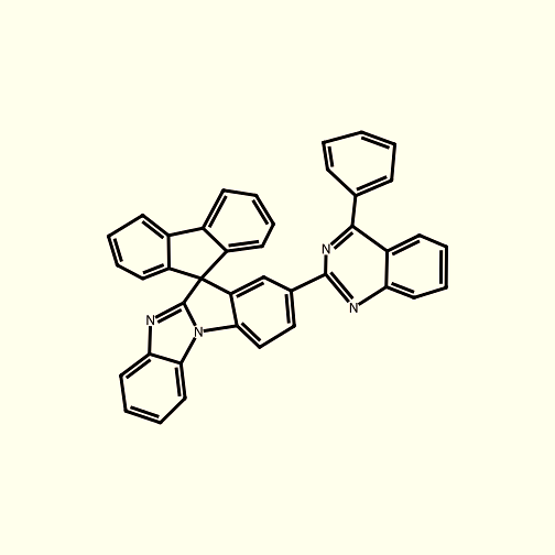 c1ccc(-c2nc(-c3ccc4c(c3)C3(c5ccccc5-c5ccccc53)c3nc5ccccc5n3-4)nc3ccccc23)cc1